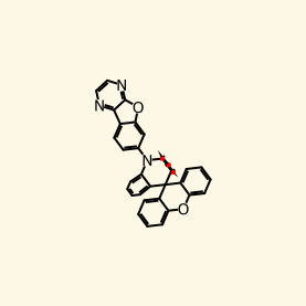 c1ccc2c(c1)Oc1ccccc1C21c2ccccc2N(c2ccc3c(c2)oc2nccnc23)c2ccccc21